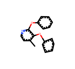 Cc1ccnc(Oc2ccccc2)c1Oc1ccccc1